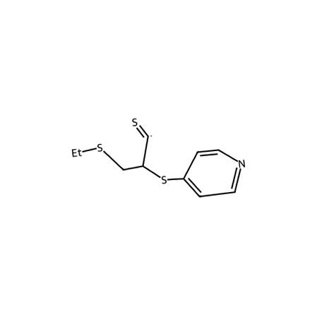 CCSCC([C]=S)Sc1ccncc1